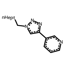 [CH2]CCCCCCCn1cc(-c2cccnc2)nn1